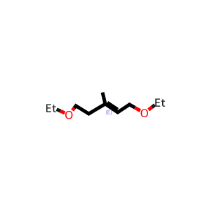 CCOC/C=C(\C)CCOCC